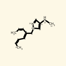 C\C=C/C=C(\C=C/C)Cn1cc(NC)cn1